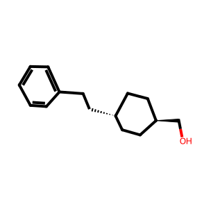 OC[C@H]1CC[C@H](CCc2ccccc2)CC1